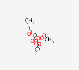 CCCCCCCC(=O)c1ccc(OCOC(C)=O)c(C(=O)OOC(=O)c2ccccc2)c1